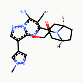 CC(=O)c1c(C2C[C@H]3CC[C@@H](C2)N3C(=O)CO)nc2c(-c3cnn(C)c3)cnn2c1N